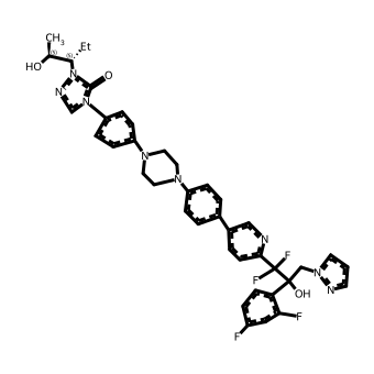 CC[C@@H]([C@H](C)O)n1ncn(-c2ccc(N3CCN(c4ccc(-c5ccc(C(F)(F)C(O)(Cn6cccn6)c6ccc(F)cc6F)nc5)cc4)CC3)cc2)c1=O